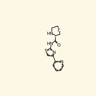 O=C(Nc1nc(-c2ccccn2)cs1)[C@@H]1CCCCN1